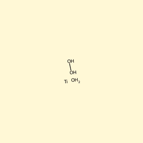 O.OO.[Ti]